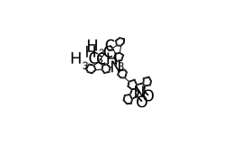 CC1(C)c2ccccc2-c2ccc(N(c3ccc(-c4cc5c6ccccc6c(=O)n6c(=O)c7ccccc7c(c4)c56)cc3)c3ccc4c(c3)C(C)(C)c3ccccc3-4)cc21